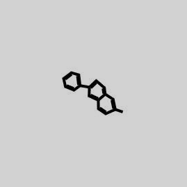 Cc1ccc2cc(-c3ccccc3)ccc2c1